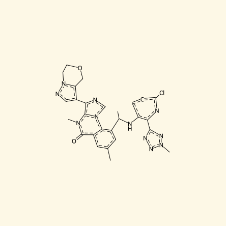 Cc1cc(C(C)Nc2ccc(Cl)nc2-c2nnn(C)n2)c2c(c1)c(=O)n(C)c1c(-c3cnn4c3COCC4)ncn21